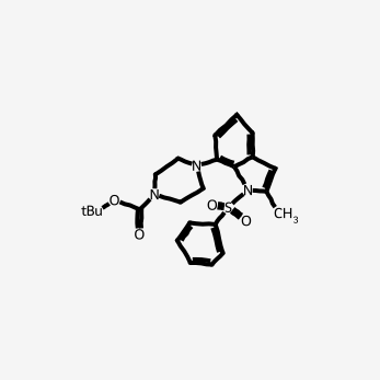 Cc1cc2cccc(N3CCN(C(=O)OC(C)(C)C)CC3)c2n1S(=O)(=O)c1ccccc1